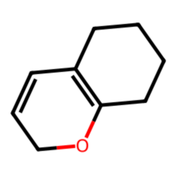 C1=CC2=C(CCCC2)OC1